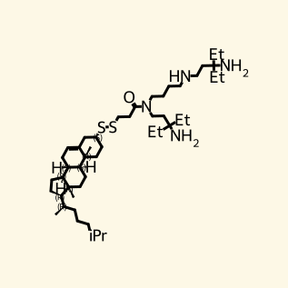 CCC(N)(CC)CCNCCCCN(CCC(N)(CC)CC)C(=O)CCSS[C@H]1CC[C@@]2(C)C(=CC[C@H]3[C@@H]4CC[C@H]([C@H](C)CCCC(C)C)[C@@]4(C)CC[C@@H]32)C1